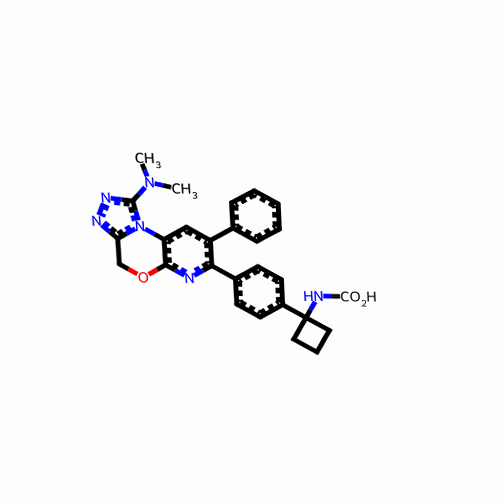 CN(C)c1nnc2n1-c1cc(-c3ccccc3)c(-c3ccc(C4(NC(=O)O)CCC4)cc3)nc1OC2